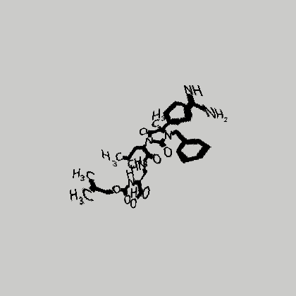 CC(C)COC(=O)N[C@@H](CNC(=O)C(CC(C)C)N1C(=O)N(Cc2ccccc2)[C@@](C)(c2ccc(C(=N)N)cc2)C1=O)C(=O)O